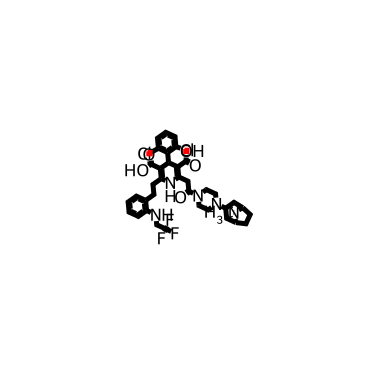 CN1C2CCC1CC(N1CCN(C(=O)CC3=C(C(=O)O)C(c4c(Cl)cccc4Cl)C(C(=O)O)=C(CCc4ccccc4NCC(F)(F)F)N3)CC1)C2